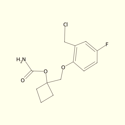 NC(=O)OC1(COc2ccc(F)cc2CCl)CCC1